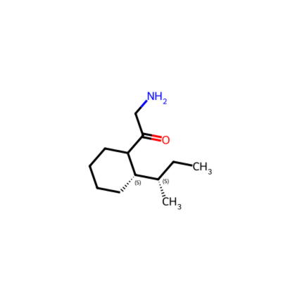 CC[C@H](C)[C@@H]1CCCCC1C(=O)CN